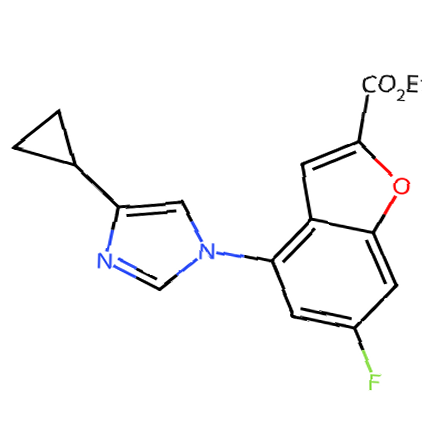 CCOC(=O)c1cc2c(-n3cnc(C4CC4)c3)cc(F)cc2o1